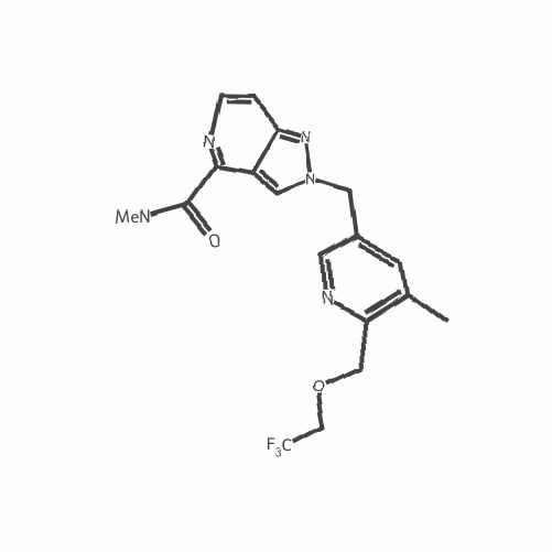 CNC(=O)c1nccc2nn(Cc3cnc(COCC(F)(F)F)c(C)c3)cc12